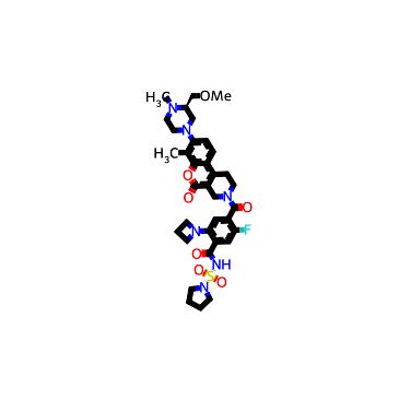 COC[C@H]1CN(c2ccc3c4c(c(=O)oc3c2C)CN(C(=O)c2cc(N3CCC3)c(C(=O)NS(=O)(=O)N3CCCC3)cc2F)CC4)CCN1C